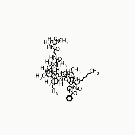 CCCCCCCC[C@@H](C(=O)N[C@@H](CC(C)C)C(=O)NC(C)(C)C(=O)N[C@@H](CC(C)C)C(=O)N[C@@H](CC(C)C)C(=O)NC(C)(C)C(=O)NC(C)(C)C(=O)NCCC(=O)N[C@@H](C)CN(C)C)N(C=O)[C@@H]1CCCN1C(=O)c1ccccc1